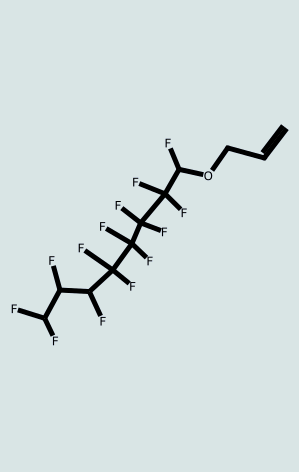 C=CCOC(F)C(F)(F)C(F)(F)C(F)(F)C(F)(F)C(F)C(F)C(F)F